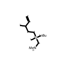 C=CC(C)CCS(C)(CCCC)CNC